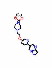 CC(C)(C)OC(=O)N1CCN(CCOc2ccc(-c3cnc4ccnn4c3)nc2)CC1